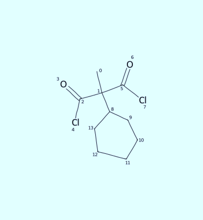 CC(C(=O)Cl)(C(=O)Cl)C1CCCCC1